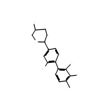 CCCc1ccc(-c2ccc(C3CCC(CCC)CO3)cc2F)c(F)c1F